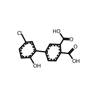 O=C(O)c1ccc(-c2cc(Cl)ccc2O)cc1C(=O)O